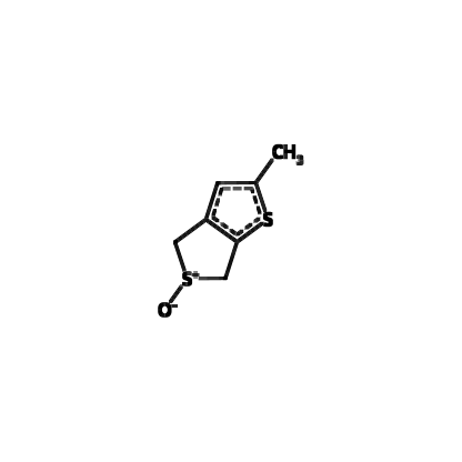 Cc1cc2c(s1)C[S+]([O-])C2